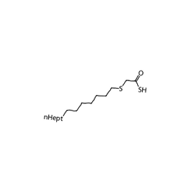 CCCCCCCCCCCCCCSCC(=O)S